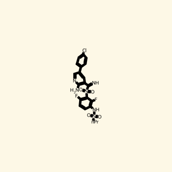 CCCS(=O)(=O)Nc1ccc(F)c(S(=O)(=O)C(=N)c2cc(-c3ccc(Cl)cc3)cnc2N)c1F